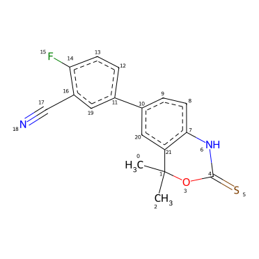 CC1(C)OC(=S)Nc2ccc(-c3ccc(F)c(C#N)c3)cc21